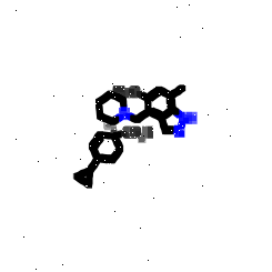 COc1cc(C)c2[nH]ncc2c1CN1CCCC[C@H]1C1(C(=O)O)C=CC(C2CC2)=CC1